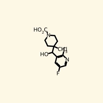 CC1(C(O)c2cc(F)cnc2Cl)CCN(C(=O)O)CC1